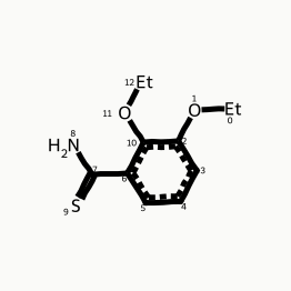 CCOc1cccc(C(N)=S)c1OCC